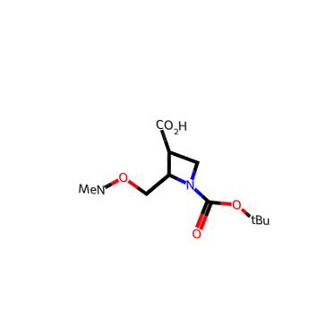 CNOCC1C(C(=O)O)CN1C(=O)OC(C)(C)C